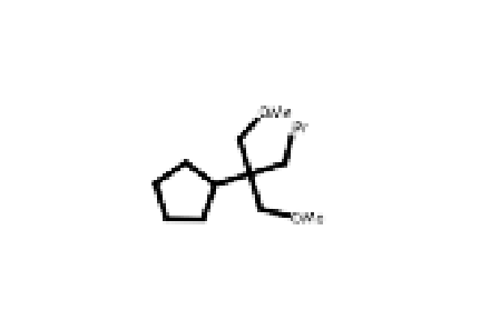 COCC(COC)(CC(C)C)C1CCCC1